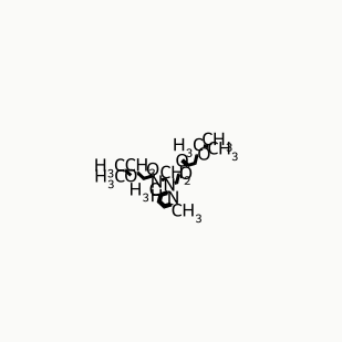 C=C(NC(=O)CCOC(C)(C)C)N(CCOC(=O)CCOC(C)(C)C)c1nc(C)ccc1C